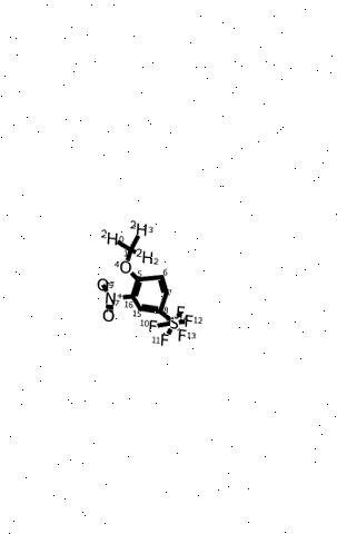 [2H]C([2H])([2H])Oc1ccc(S(F)(F)(F)(F)F)cc1[N+](=O)[O-]